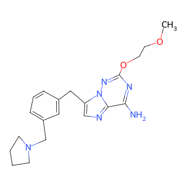 COCCOc1nc(N)c2ncc(Cc3cccc(CN4CCCC4)c3)n2n1